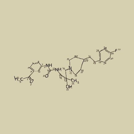 CC(=O)c1cccc(NC(=O)NCC(C)(O)CN2CCC(CCc3ccc(F)cc3)CC2)c1